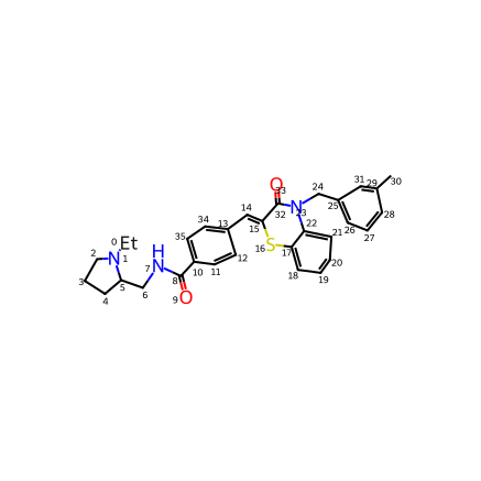 CCN1CCCC1CNC(=O)c1ccc(/C=C2\Sc3ccccc3N(Cc3cccc(C)c3)C2=O)cc1